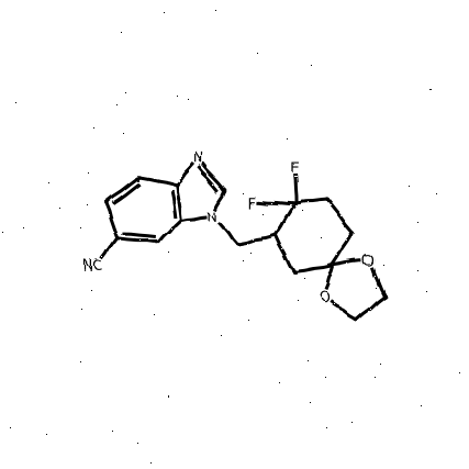 N#Cc1ccc2ncn(CC3CC4(CCC3(F)F)OCCO4)c2c1